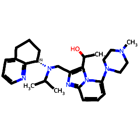 CC(O)c1c(CN(C(C)C)[C@H]2CCCc3cccnc32)nc2cccc(N3CCN(C)CC3)n12